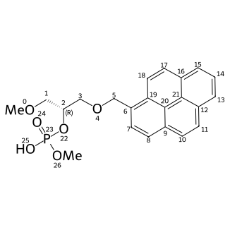 COC[C@H](COCc1ccc2ccc3cccc4ccc1c2c34)OP(=O)(O)OC